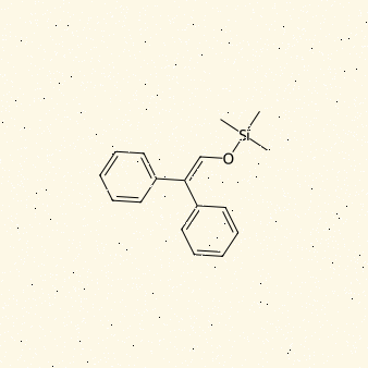 C[Si](C)(C)OC=C(c1ccccc1)c1ccccc1